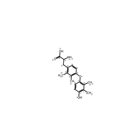 Cc1c(O)ccc(Oc2ccc(CC(N)C(=O)O)c(C)c2C)c1C